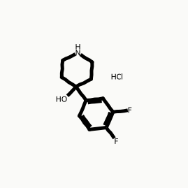 Cl.OC1(c2ccc(F)c(F)c2)CCNCC1